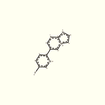 Fc1ccc(-c2cnc3nccn3c2)nc1